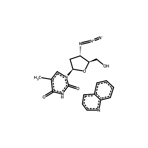 Cc1cn([C@H]2C[C@H](N=[N+]=[N-])[C@@H](CO)O2)c(=O)[nH]c1=O.c1ccc2ncccc2c1